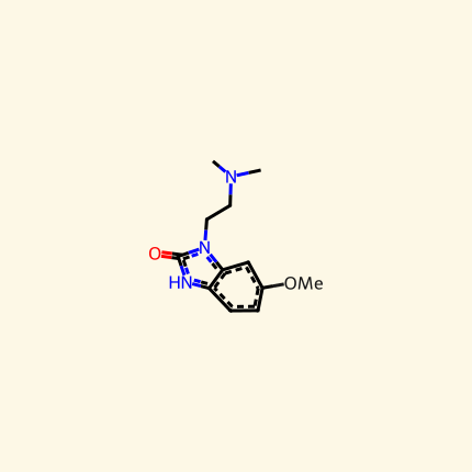 COc1ccc2[nH]c(=O)n(CCN(C)C)c2c1